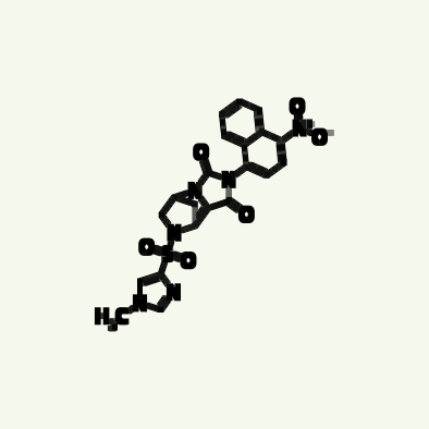 Cn1cnc(S(=O)(=O)N2CC3CC2=C2C(=O)N(c4ccc([N+](=O)[O-])c5ccccc45)C(=O)N23)c1